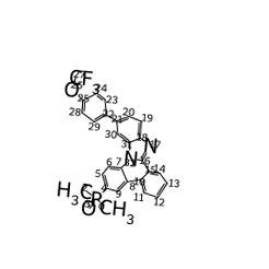 CP(C)(=O)c1ccc2c(c1)c1ccccc1c1nc3ccc(-c4ccc(OC(F)(F)F)cc4)cc3n21